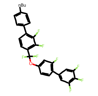 CCCCc1ccc(-c2ccc(C(F)(F)Oc3ccc(-c4cc(F)c(F)c(F)c4)c(F)c3)c(F)c2F)cc1